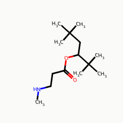 CNCCC(=O)OC(CC(C)(C)C)C(C)(C)C